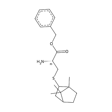 CC1(C)C2CCC1(C)C(SC[C@H](N)C(=O)OCc1ccccc1)C2